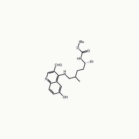 CC[C@H](CCC(C)CNc1c(C=O)cnc2ccc(O)cc12)NC(=O)OC(C)(C)C